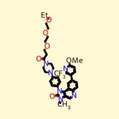 CCOCCOCCOCCC(=O)N1CCN(c2ccc(-n3c(=O)n(C)c4cnc5ccc(-c6ccc(OC)nc6)cc5c43)cc2C(F)(F)F)CC1